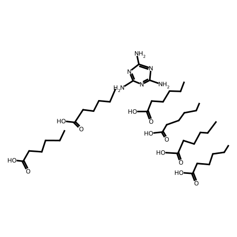 CCCCCC(=O)O.CCCCCC(=O)O.CCCCCC(=O)O.CCCCCC(=O)O.CCCCCC(=O)O.CCCCCC(=O)O.Nc1nc(N)nc(N)n1